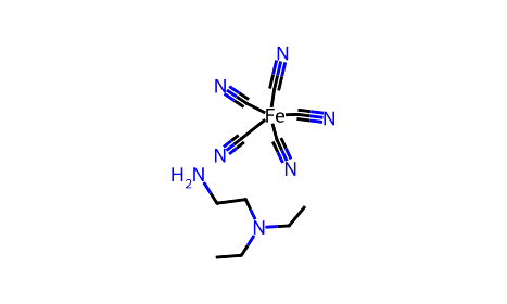 CCN(CC)CCN.N#[C][Fe]([C]#N)([C]#N)([C]#N)[C]#N